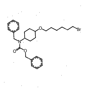 O=C(OCc1ccccc1)N(Cc1ccccc1)C1CCC(OCCCCCCBr)CC1